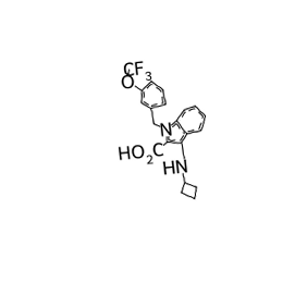 O=C(O)c1c(CNC2CCC2)c2ccccc2n1Cc1cccc(OC(F)(F)F)c1